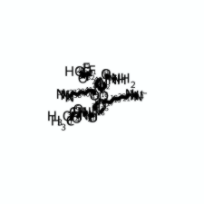 CC(C)(C)OC(=O)NNC(=O)N1CCN(C(=O)CCCCCN=[N+]=[N-])CC1.O=C(O)C(F)(F)F.[N-]=[N+]=NCCCCCC(=O)N1CCN(C(=O)NN)CC1